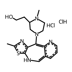 Cc1nc2c(s1)NC=c1cccnc1=C2N1CCN(C)C(CCO)C1.Cl.Cl